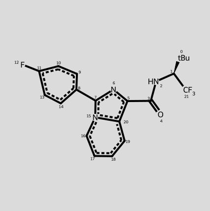 CC(C)(C)[C@H](NC(=O)c1nc(-c2ccc(F)cc2)n2ccccc12)C(F)(F)F